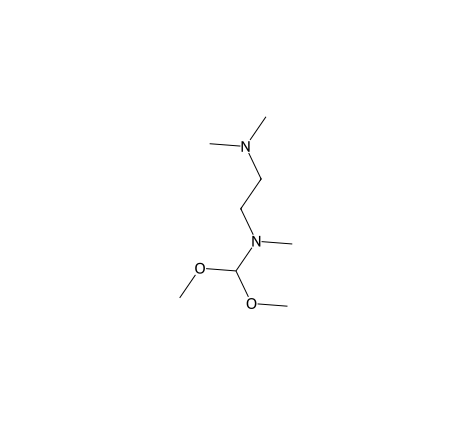 COC(OC)N(C)CCN(C)C